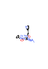 O=C(C=Cc1cccnc1)Nc1n[nH]c2c1CN(C(=O)NCc1ccccc1)C2